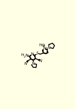 N#Cc1c(N)nc(SCc2ccc(N3CCCC3)[n+](O)c2)c(C#N)c1N1CCCC1